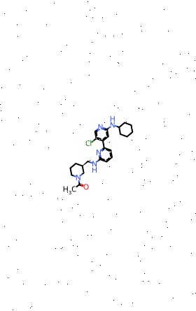 CC(=O)N1CCC[C@@H](CNc2cccc(-c3cc(NC4CCCCC4)ncc3Cl)n2)C1